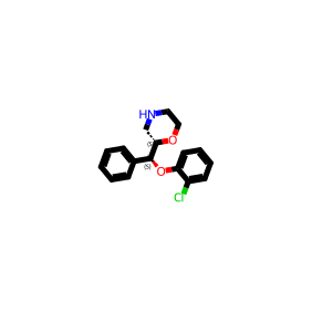 Clc1ccccc1O[C@@H](c1ccccc1)[C@@H]1CNCCO1